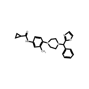 Cc1cc(NC(=O)C2CC2)ccc1N1CCN(C(c2ccccc2)c2ncco2)CC1